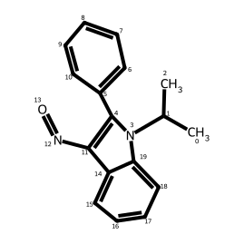 CC(C)n1c(-c2ccccc2)c(N=O)c2ccccc21